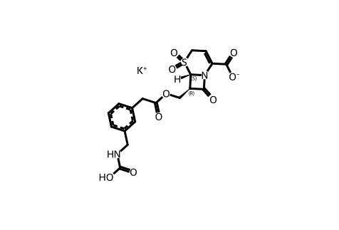 O=C(O)NCc1cccc(CC(=O)OC[C@@H]2C(=O)N3C(C(=O)[O-])=CCS(=O)(=O)[C@@H]23)c1.[K+]